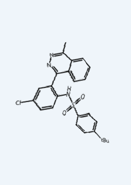 Cc1nnc(-c2cc(Cl)ccc2NS(=O)(=O)c2ccc(C(C)(C)C)cc2)c2ccccc12